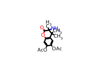 CC(=O)Oc1cc2c(cc1OC(C)=O)C(C)(C)C(C)(N)C(=O)O2